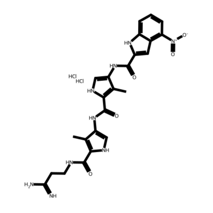 Cc1c(NC(=O)c2cc3c([N+](=O)[O-])cccc3[nH]2)c[nH]c1C(=O)Nc1c[nH]c(C(=O)NCCC(=N)N)c1C.Cl.Cl